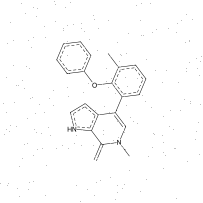 C=C1c2[nH]ccc2C(c2cccc(C)c2Oc2ccccc2)=CN1C